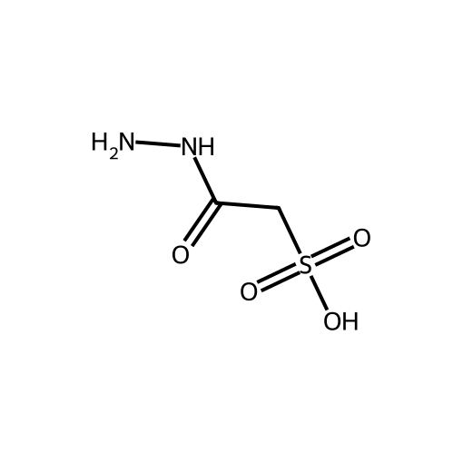 NNC(=O)CS(=O)(=O)O